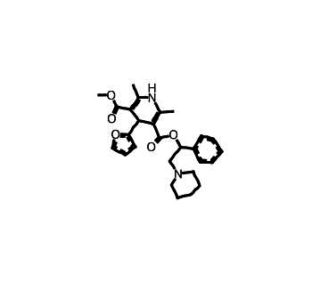 COC(=O)C1=C(C)NC(C)=C(C(=O)OC(CN2CCCCC2)c2ccccc2)C1c1ccco1